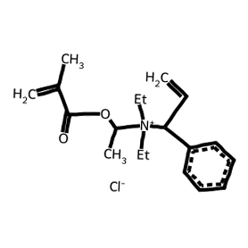 C=CC(c1ccccc1)[N+](CC)(CC)C(C)OC(=O)C(=C)C.[Cl-]